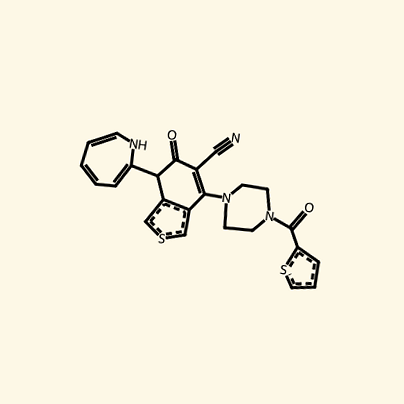 N#CC1=C(N2CCN(C(=O)c3cccs3)CC2)c2cscc2C(C2=CC=CC=CN2)C1=O